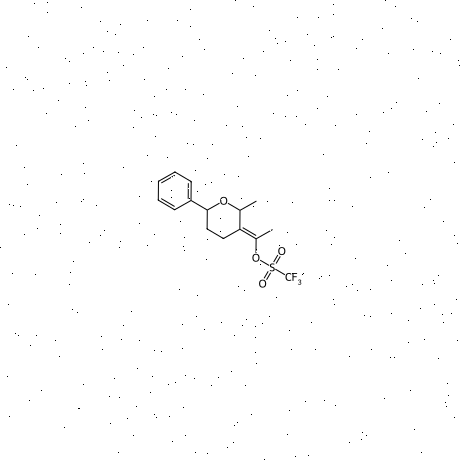 C/C(OS(=O)(=O)C(F)(F)F)=C1/CCC(c2ccccc2)OC1C